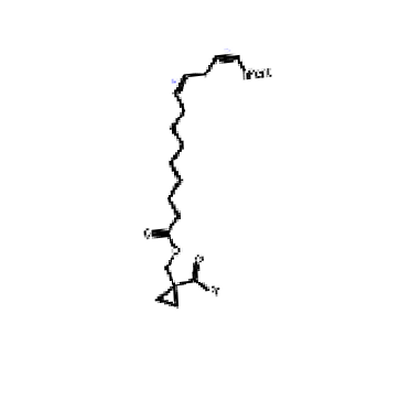 CCCCC/C=C\C/C=C\CCCCCCCC(=O)OCC1(C(=O)C(C)C)CC1